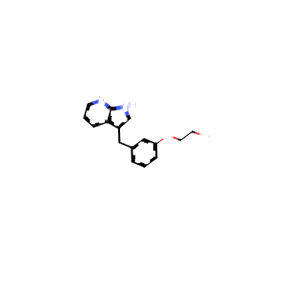 OCCOc1cccc(Cc2c[nH]c3ncccc23)c1